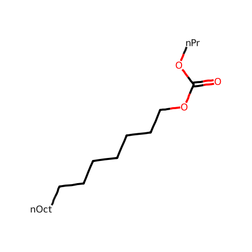 CCCCCCCCCCCCCCCOC(=O)OCCC